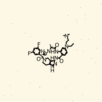 CCN(CCN(C)C)c1ccc(C(=O)Nc2n[nH]c3c2CN(S(=O)(=O)c2cc(F)cc(F)c2)CC3)c(NC(=O)[C@H](C)N)c1